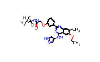 CCOc1cc2c(Nc3cn[nH]c3)nc(-c3cccc(OCC(=O)NC(C)(C)C)c3)nc2cc1C